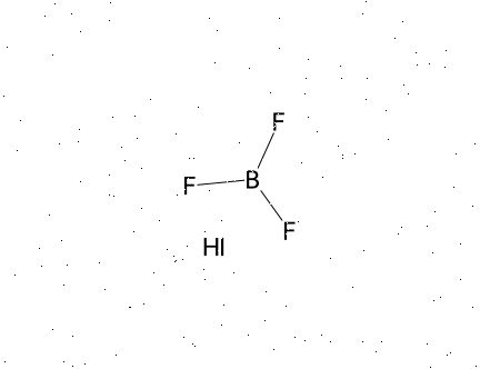 FB(F)F.I